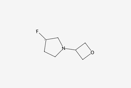 F[C]1CCN(C2COC2)C1